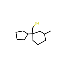 CC1CCCC(CS)(C2CCCC2)C1